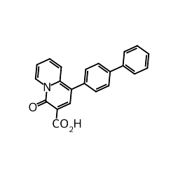 O=C(O)c1cc(-c2ccc(-c3ccccc3)cc2)c2ccccn2c1=O